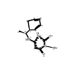 C[C@H](Nc1cc(=O)n(C(C)(C)C)c(=O)[nH]1)C1C=CC=CC1